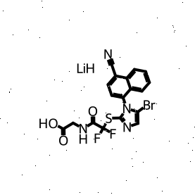 N#Cc1ccc(-n2c(Br)cnc2SC(F)(F)C(=O)NCC(=O)O)c2ccccc12.[LiH]